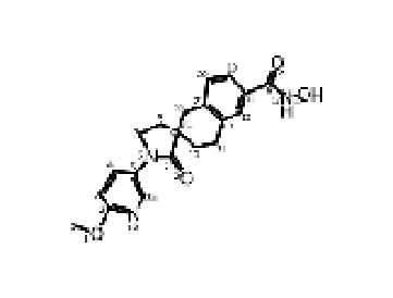 COc1ccc(N2CC[C@@]3(CCc4cc(C(=O)NO)ccc4C3)C2=O)cn1